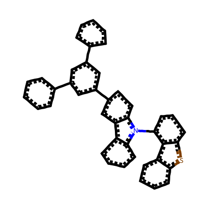 c1ccc(-c2cc(-c3ccccc3)cc(-c3ccc4c(c3)c3ccccc3n4-c3cccc4sc5ccccc5c34)c2)cc1